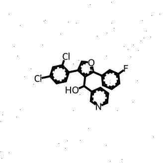 OC(c1cccnc1)c1c(-c2ccc(Cl)cc2Cl)coc1-c1cccc(F)c1